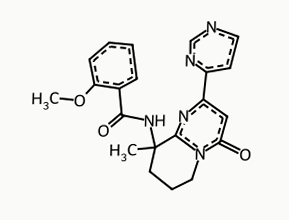 COc1ccccc1C(=O)NC1(C)CCCn2c1nc(-c1ccncn1)cc2=O